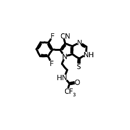 N#Cc1c(-c2c(F)cccc2F)n(CCNC(=O)C(F)(F)F)c2c(=S)[nH]cnc12